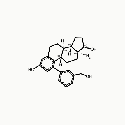 C[C@]12CC[C@@H]3c4c(cc(O)cc4-c4cccc(CO)c4)CC[C@H]3[C@@H]1CC[C@H]2O